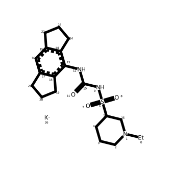 CCN1CCCC(S(=O)(=O)NC(=O)Nc2c3c(cc4c2CCC4)CCC3)C1.[K]